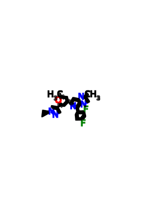 Cc1cnc2c(-c3ccc(F)cc3F)nc([C@H]3C[C@@H](C)O[C@H](c4cnn(C5CC5)c4)C3)cc2n1